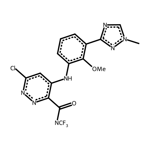 COc1c(Nc2cc(Cl)nnc2C(=O)NC(F)(F)F)cccc1-c1ncn(C)n1